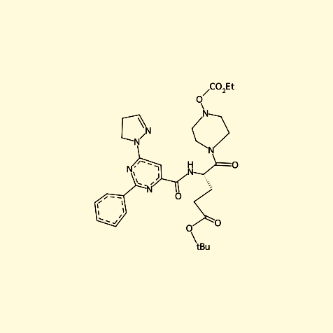 CCOC(=O)ON1CCN(C(=O)[C@H](CCC(=O)OC(C)(C)C)NC(=O)c2cc(N3CCC=N3)nc(-c3ccccc3)n2)CC1